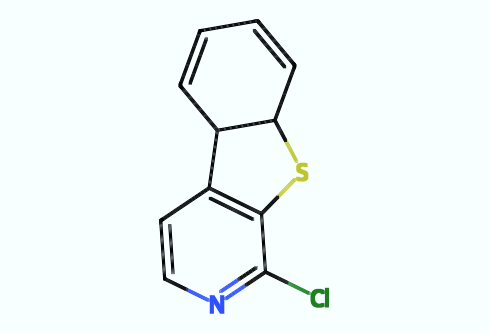 Clc1nccc2c1SC1C=CC=CC21